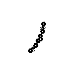 c1ccc2c(c1)sc1c3ccc(-c4ccc5c(c4)CCc4cc(-c6ccc7c(c6)sc6c8ccccc8sc76)ccc4-5)cc3sc21